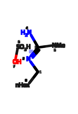 CCCCCCC/N=C(/N)NC.O=S(=O)(O)O